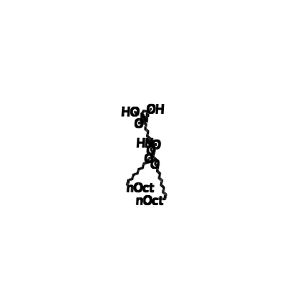 CCCCCCCC/C=C\CCCCCCCCOCC(COC(=O)NCCCCCC(=O)N1C[C@H](O)C[C@H]1CO)OCCCCCCC/C=C\CCCCCCCC